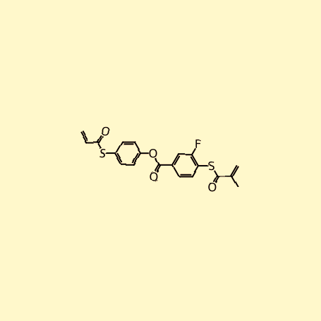 C=CC(=O)Sc1ccc(OC(=O)c2ccc(SC(=O)C(=C)C)c(F)c2)cc1